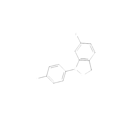 Fc1ccc(B2OCc3ccc(F)cc32)cc1